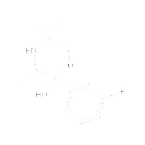 CC1NC(C)(C)COC1(O)c1cccc(F)c1